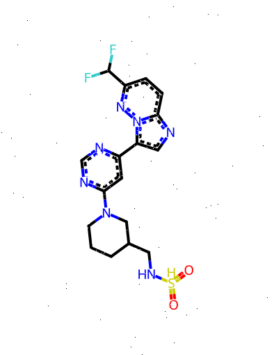 O=[SH](=O)NCC1CCCN(c2cc(-c3cnc4ccc(C(F)F)nn34)ncn2)C1